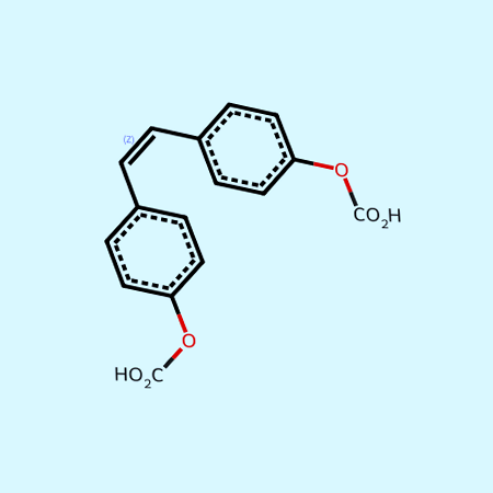 O=C(O)Oc1ccc(/C=C\c2ccc(OC(=O)O)cc2)cc1